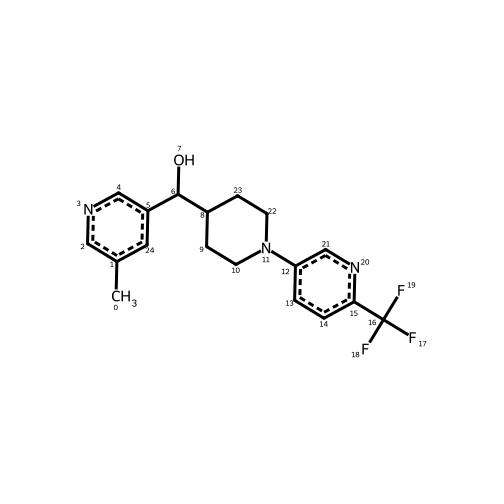 Cc1cncc(C(O)C2CCN(c3ccc(C(F)(F)F)nc3)CC2)c1